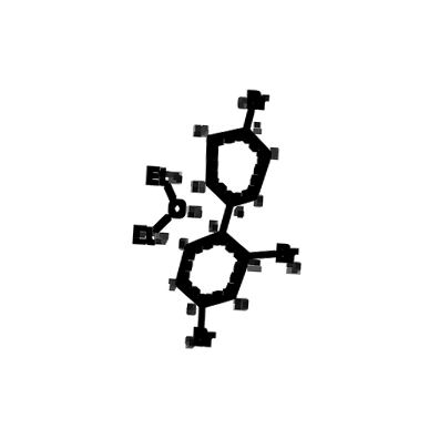 Brc1ccc(-c2ccc(Br)cc2Br)cc1.CCOCC